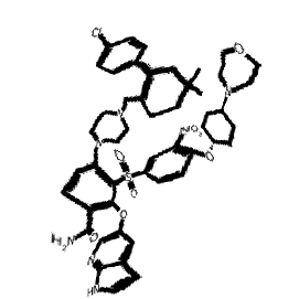 CC1(C)CCC(CN2CCN(c3ccc(C(N)=O)c(Oc4cnc5[nH]ccc5c4)c3S(=O)(=O)c3ccc(O[C@H]4CC[C@H](N5CCOCC5)CC4)c([N+](=O)[O-])c3)CC2)=C(c2ccc(Cl)cc2)C1